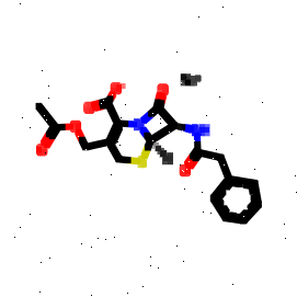 CC(=O)OCC1=C(C(=O)[O-])N2C(=O)[C@@H](NC(=O)Cc3ccccc3)[C@H]2SC1.[Na+]